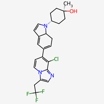 C[C@]1(O)CC[C@H](N2C=CC3=CC(c4ccn5c(CC(F)(F)F)cnc5c4Cl)=CCC32)CC1